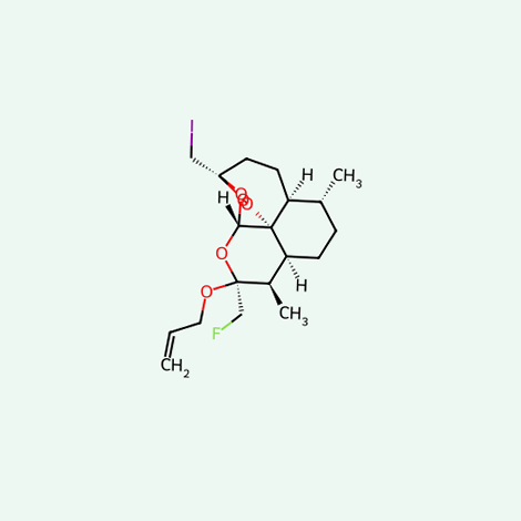 C=CCO[C@@]1(CF)O[C@@H]2O[C@]3(CI)CC[C@H]4[C@H](C)CC[C@@H]([C@H]1C)[C@@]24OO3